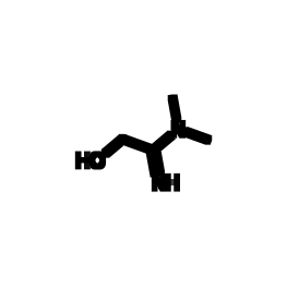 CN(C)C(=N)CO